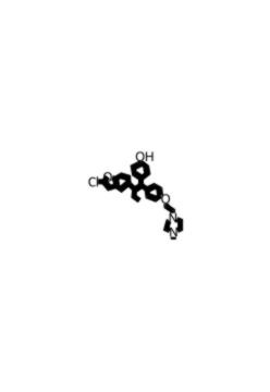 CC/C(=C(/c1ccc(O)cc1)c1ccc(OCCN2CCN(C)CC2)cc1)c1ccc2oc(Cl)cc2c1